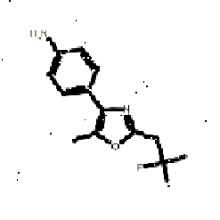 Cc1oc(CC(F)(F)F)nc1-c1ccc(N)cc1